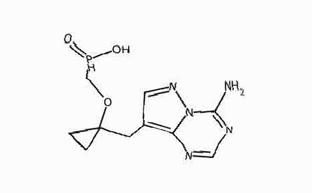 Nc1ncnc2c(CC3(OC[PH](=O)O)CC3)cnn12